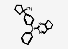 N#CC1(c2ccc(N(c3ccccc3)c3ncc4c(n3)CCC4)cc2)CCCC1